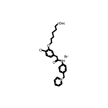 CCCCCCCCCCCCCCCCOc1cc(CC(=O)Nc2ccc(C[n+]3ccccc3)cc2)ccc1Cl.[Br-]